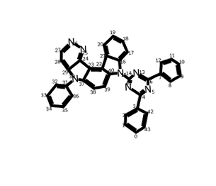 c1ccc(-c2nc(-c3ccccc3)nc(-n3c4ccccc4c4c5c6nnccc6n(-c6ccccc6)c5ccc43)n2)cc1